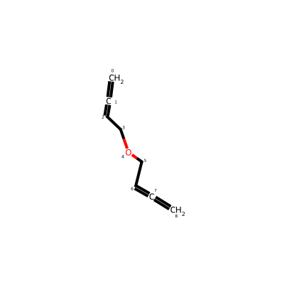 C=C=CCOCC=C=C